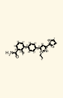 CCn1nc(-c2nccs2)cc1-c1ccc(-c2cccc(C(N)=O)c2F)cc1